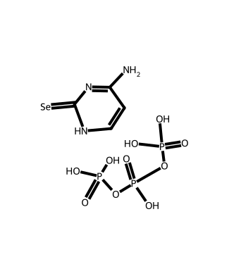 Nc1cc[nH]c(=[Se])n1.O=P(O)(O)OP(=O)(O)OP(=O)(O)O